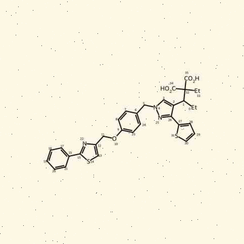 CCC(c1cn(Cc2ccc(OCc3csc(-c4ccccc4)n3)cc2)nc1-c1cccs1)C(CC)(C(=O)O)C(=O)O